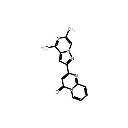 Cc1cn2nc(-c3cc(=O)n4ccccc4n3)cc2c(C)n1